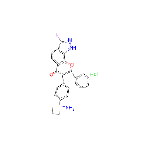 Cl.NC1(c2ccc(-c3c(-c4ccccc4)oc4c(ccc5c(I)n[nH]c54)c3=O)cc2)CCC1